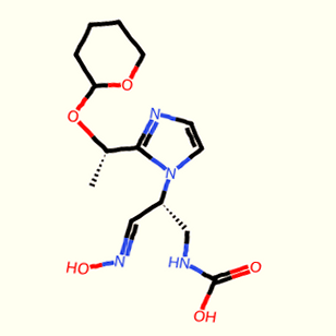 C[C@H](OC1CCCCO1)c1nccn1[C@@H](/C=N/O)CNC(=O)O